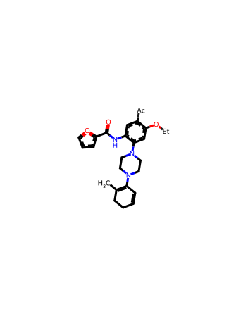 CCOc1cc(N2CCN(C3=C(C)CCC=C3)CC2)c(NC(=O)c2ccco2)cc1C(C)=O